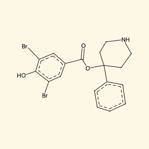 O=C(OC1(c2ccccc2)CCNCC1)c1cc(Br)c(O)c(Br)c1